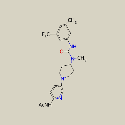 CC(=O)Nc1ccc(N2CCC(N(C)C(=O)Nc3cc(C)cc(C(F)(F)F)c3)CC2)cn1